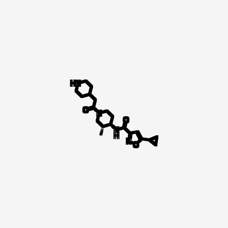 C[C@@H]1CN(C(=O)CC2CCNCC2)CC[C@H]1NC(=O)c1cc(C2CC2)on1